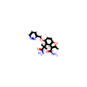 Cc1oc2ccc(OCc3cccnn3)c(C(C)(C)C(N)=O)c2c1C(N)=O